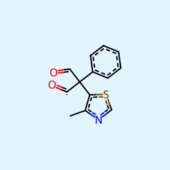 Cc1ncsc1C([C]=O)(C=O)c1ccccc1